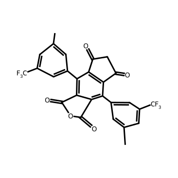 Cc1cc(-c2c3c(c(-c4cc(C)cc(C(F)(F)F)c4)c4c2C(=O)OC4=O)C(=O)CC3=O)cc(C(F)(F)F)c1